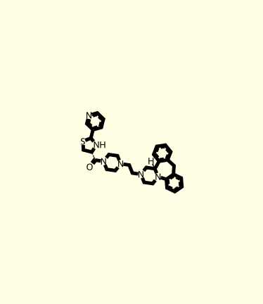 O=C([C@@H]1CSC(c2cccnc2)N1)N1CCN(CCN2CCN3c4ccccc4Cc4ccccc4[C@@H]3C2)CC1